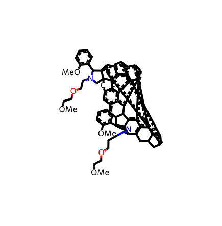 COCCOCCN1CC23Cc4cc5c6c7c8c9c%10c%11c%12c9c9c%13c%14c(cc(c%13c%13c2c4c6c8c%139)=C3C1c1ccccc1OC)CC(CC=%11C1CN(CCOCCOC)C(c2ccccc2OC)C12CC(C=5)C7C=%102)C%12%14